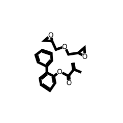 C(OCC1CO1)C1CO1.C=C(C)C(=O)Oc1ccccc1-c1ccccc1